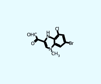 CN1C=C(C(=O)C=O)Nc2c(Cl)cc(Br)cc21